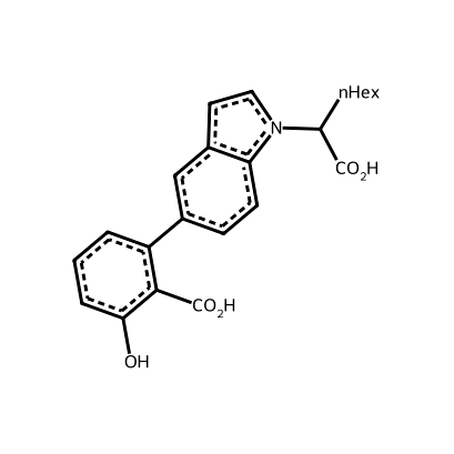 CCCCCCC(C(=O)O)n1ccc2cc(-c3cccc(O)c3C(=O)O)ccc21